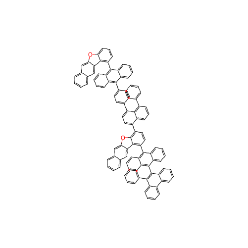 c1ccc(-c2c(-c3c4ccccc4c(-c4ccc(-c5ccc(-c6ccc(-c7c8ccccc8c(-c8cccc9oc%10cc%11ccccc%11cc%10c89)c8ccccc78)cc6)c6c(-c7ccccc7)cccc56)c5oc6cc7ccccc7cc6c45)c4ccccc34)c3ccccc3c3ccccc23)cc1